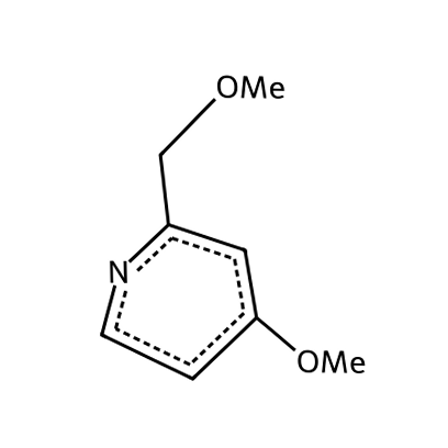 COCc1cc(OC)ccn1